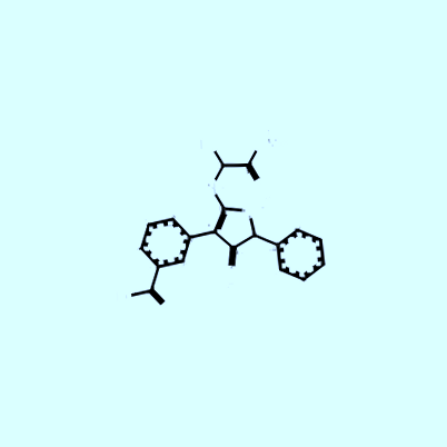 CCC(=S)c1cccc(C2=C(NC(CC)C(=O)OC)OC(c3ccccc3)C2=O)c1